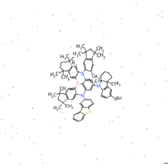 Cc1cc2c(cc1N1c3cc4c(cc3B3c5cc6c(cc5N(c5ccc7sc8ccccc8c7c5)c5cc(N7c8ccc(C(C)(C)C)cc8C8(C)CCCCC78C)cc1c53)C(C)(C)CC6(C)C)C(C)(C)CCC4(C)C)C(C)(C)CC2(C)C